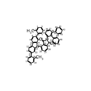 Cc1ccccc1-c1ccc2c3ccc(-c4ccccc4C)cc3n(-c3cccc4c3C(=O)N(c3cccc(-c5ccccc5)c3-c3ccccc3)C4O)c2c1